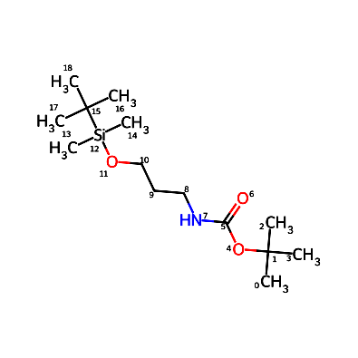 CC(C)(C)OC(=O)NCCCO[Si](C)(C)C(C)(C)C